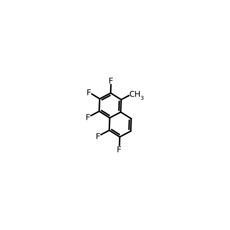 Cc1c(F)c(F)c(F)c2c(F)c(F)ccc12